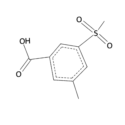 Cc1cc(C(=O)O)cc(S(C)(=O)=O)c1